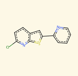 Clc1ccc2cc(-c3ccccn3)sc2n1